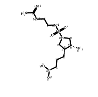 N=C(N)NCCNS(=O)(=O)N1C[C@H](CCCB(O)O)[C@@H](N)C1